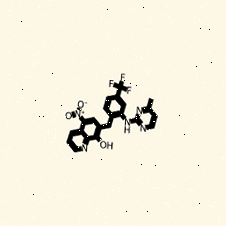 Cc1ccnc(Nc2cc(C(F)(F)F)ccc2Cc2cc([N+](=O)[O-])c3cccnc3c2O)n1